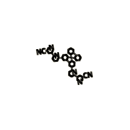 N#Cc1cncc(-c2cccc(-c3ccc4c(c3)-c3cc(-c5cccc(-c6cncc(C#N)c6)n5)ccc3C43c4ccccc4-c4ccccc43)n2)c1